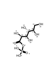 O=C(OP(=O)(O)O)[C@@H](O)[C@H](O)[C@H](O)[C@H](O)CO